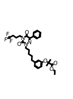 CCOC(=O)C(C)(C)Oc1cccc(CCCCCn2nc(-c3ccccc3)c(=O)n(CCCC(F)(F)F)c2=O)c1